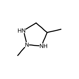 CC1CNN(C)N1